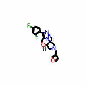 Fc1ccc(-c2nnn3c2CO[C@@H]2CN(Cc4ccoc4)C[C@H]23)c(F)c1